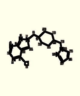 Clc1ncnc2nn(CC3CCC(Cn4cccn4)CC3)cc12